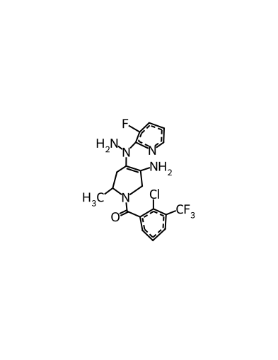 CC1CC(N(N)c2ncccc2F)=C(N)CN1C(=O)c1cccc(C(F)(F)F)c1Cl